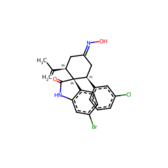 C=C(C)[C@H]1CC(=NO)C[C@@H](c2cccc(Cl)c2)[C@]12C(=O)Nc1cc(Br)ccc12